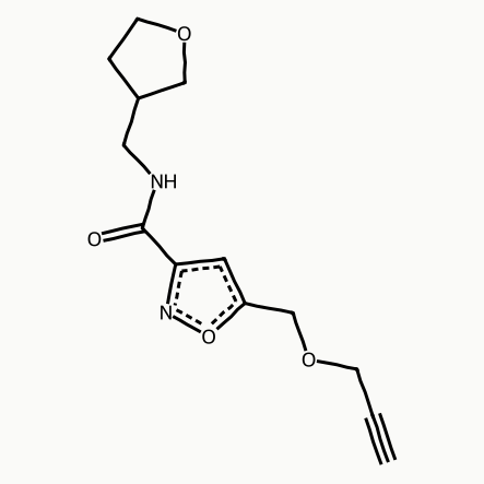 C#CCOCc1cc(C(=O)NCC2CCOC2)no1